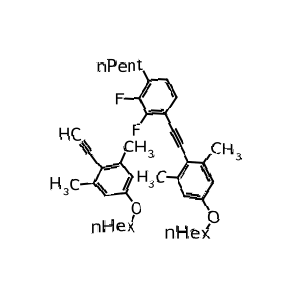 C#Cc1c(C)cc(OCCCCCC)cc1C.CCCCCCOc1cc(C)c(C#Cc2ccc(CCCCC)c(F)c2F)c(C)c1